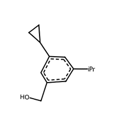 CC(C)c1cc(CO)cc(C2CC2)c1